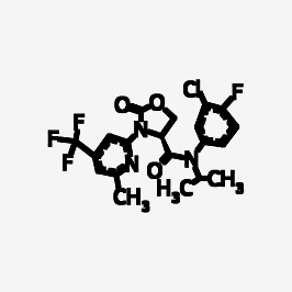 Cc1cc(C(F)(F)F)cc(N2C(=O)OC[C@H]2C(=O)N(c2ccc(F)c(Cl)c2)C(C)C)n1